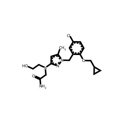 Cc1cc(N(CCO)CC(N)=O)nn1Cc1cc(Cl)ccc1OCC1CC1